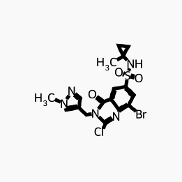 Cn1cc(Cn2c(Cl)nc3c(Br)cc(S(=O)(=O)NC4(C)CC4)cc3c2=O)cn1